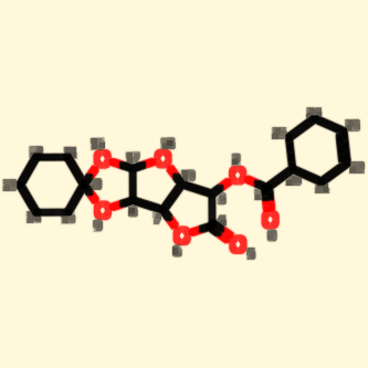 O=C(OC1C(=O)OC2C3OC4(CCCCC4)OC3OC12)C1CC=CCC1